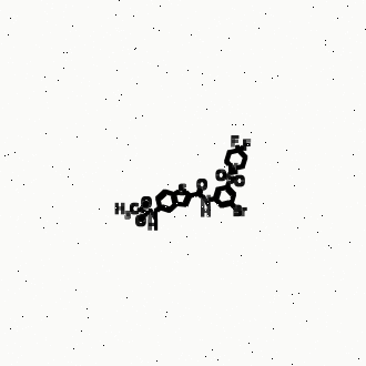 CS(=O)(=O)Nc1ccc2sc(C(=O)Nc3cc(Br)cc(S(=O)(=O)N4CCC(F)(F)CC4)c3)cc2c1